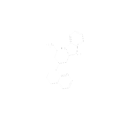 NCCN(CC1Nc2ccccc2N1)C1CCCc2cccnc21